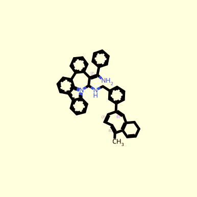 C\C1=C/C=C\C(c2cccc(CNC3/C(=C(\N)c4ccccc4)c4ccccc4-c4cccc5c6ccccc6n3c45)c2)=C/C2=C1C=CCC2